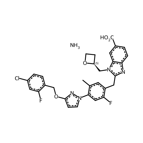 Cc1cc(Cc2nc3ccc(C(=O)O)cc3n2C[C@@H]2CCO2)c(F)cc1-n1ccc(OCc2ccc(Cl)cc2F)n1.N